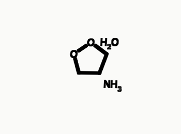 C1COOC1.N.O